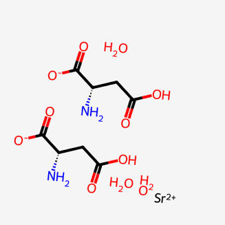 N[C@@H](CC(=O)O)C(=O)[O-].N[C@@H](CC(=O)O)C(=O)[O-].O.O.O.[Sr+2]